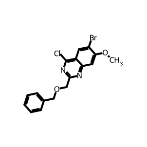 COc1cc2nc(COCc3ccccc3)nc(Cl)c2cc1Br